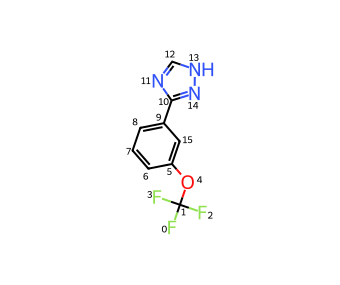 FC(F)(F)Oc1cccc(-c2nc[nH]n2)c1